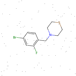 Fc1cc(Br)ccc1CN1CCSCC1